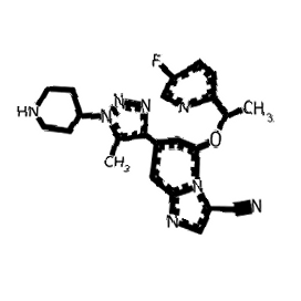 Cc1c(-c2cc(OC(C)c3ccc(F)cn3)n3c(C#N)cnc3c2)nnn1C1CCNCC1